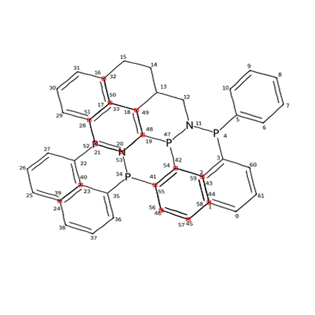 c1ccc(P(c2ccccc2)N(CC2CCCCC2CN(P(c2ccccc2)c2ccccc2)P(c2ccccc2)c2ccccc2)P(c2ccccc2)c2ccccc2)cc1